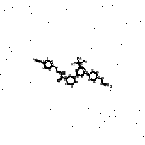 N#Cc1ccc(CCNC(=O)[C@@H]2CCCN(c3cc(N4CCC(CCN)CC4)nc(C(F)(F)F)n3)C2)cc1